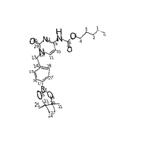 CCCCCOC(=O)Nc1ccn(Cc2ccc(B3OC(C)(C)C(C)(C)O3)cc2)c(=O)n1